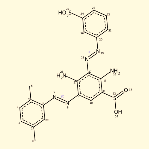 Cc1ccc(C)c(/N=N/c2cc(S(=O)O)c(N)c(/N=N/c3cccc(S(=O)(=O)O)c3)c2N)c1